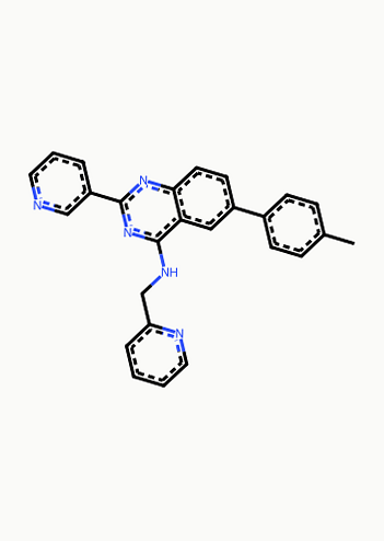 Cc1ccc(-c2ccc3nc(-c4cccnc4)nc(NCc4ccccn4)c3c2)cc1